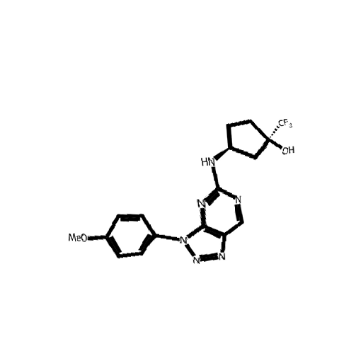 COc1ccc(-n2nnc3cnc(N[C@H]4CC[C@](O)(C(F)(F)F)C4)nc32)cc1